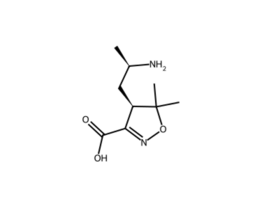 C[C@@H](N)C[C@@H]1C(C(=O)O)=NOC1(C)C